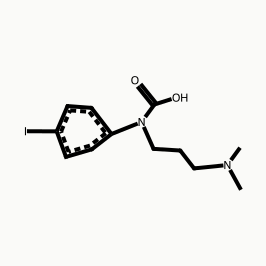 CN(C)CCCN(C(=O)O)c1ccc(I)cc1